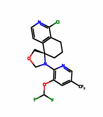 FC(F)Oc1cc(C(F)(F)F)cnc1N1COC[C@@]12CCCc1c2ccnc1Cl